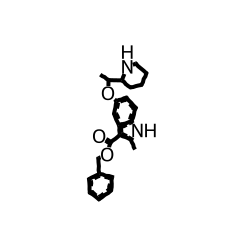 Cc1[nH]c2ccc(OC(C)C3CCCCN3)cc2c1C(=O)OCc1ccccc1